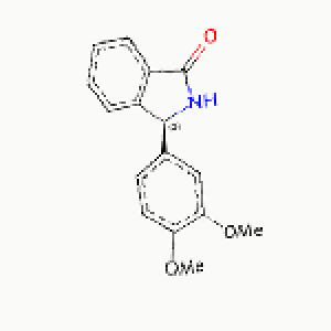 COc1ccc([C@@H]2NC(=O)c3ccccc32)cc1OC